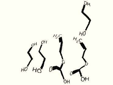 C=CCOC(=O)O.C=CCOC(=O)O.OCCO.OCCO.OCCO